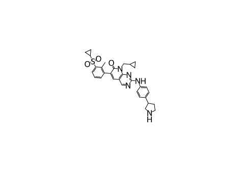 Cc1c(-c2cc3cnc(Nc4ccc(C5CCNC5)cc4)nc3n(CC3CC3)c2=O)cccc1S(=O)(=O)C1CC1